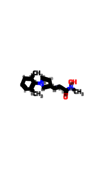 Cc1cccc(C)c1-n1ccc(/C=C/C(=O)N(C)O)c1